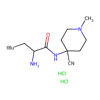 CN1CCC(C#N)(NC(=O)C(N)CC(C)(C)C)CC1.Cl.Cl